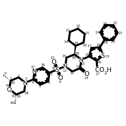 C[C@@H]1CN(c2ccc(S(=O)(=O)N3CC(=O)N(c4cc(-c5ccccc5)sc4C(=O)O)[C@H](C4CCCCC4)C3)cn2)C[C@H](C)O1